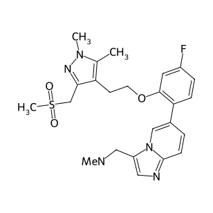 CNCc1cnc2ccc(-c3ccc(F)cc3OCCc3c(CS(C)(=O)=O)nn(C)c3C)cn12